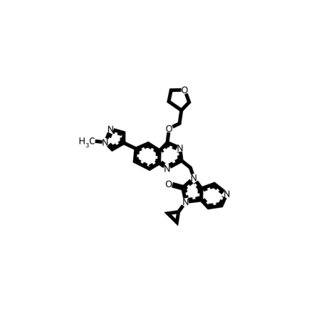 Cn1cc(-c2ccc3nc(Cn4c(=O)n(C5CC5)c5ccncc54)nc(OCC4CCOC4)c3c2)cn1